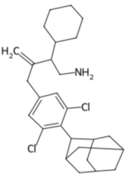 C=C(Cc1cc(Cl)c(C2C3CC4CC(C3)CC2C4)c(Cl)c1)C(CN)C1CCCCC1